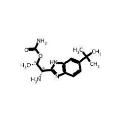 C[C@H](OC(N)=O)[C@@H](N)c1nc2ccc(C(C)(C)C)cc2[nH]1